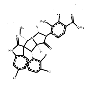 COC(=O)c1ccc(N2C(=O)[C@H]3[C@H](c4cccc(Cl)c4F)C4(C(=O)Nc5cc(Cl)ccc54)[C@H](CC(C)(C)C)N3[C@@H]2C)c(OC)c1C